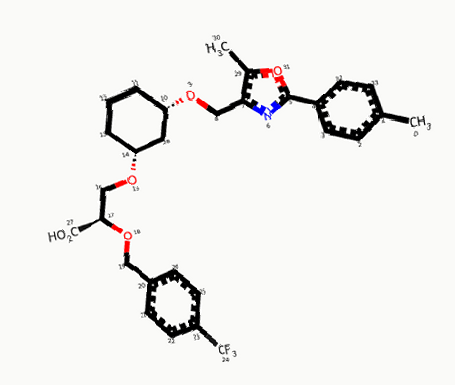 Cc1ccc(-c2nc(CO[C@H]3CCC[C@@H](OC[C@@H](OCc4ccc(C(F)(F)F)cc4)C(=O)O)C3)c(C)o2)cc1